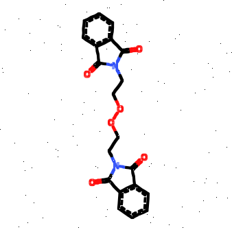 O=C1c2ccccc2C(=O)N1CCOOCCN1C(=O)c2ccccc2C1=O